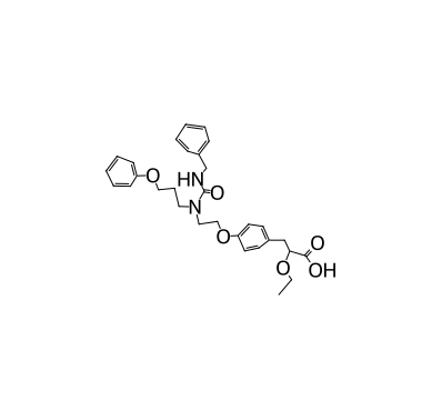 CCOC(Cc1ccc(OCCN(CCCOc2ccccc2)C(=O)NCc2ccccc2)cc1)C(=O)O